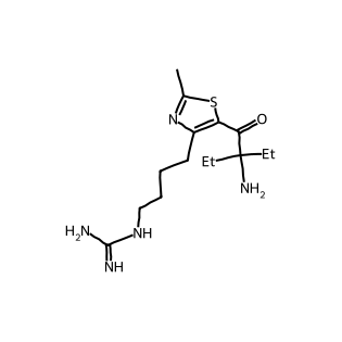 CCC(N)(CC)C(=O)c1sc(C)nc1CCCCNC(=N)N